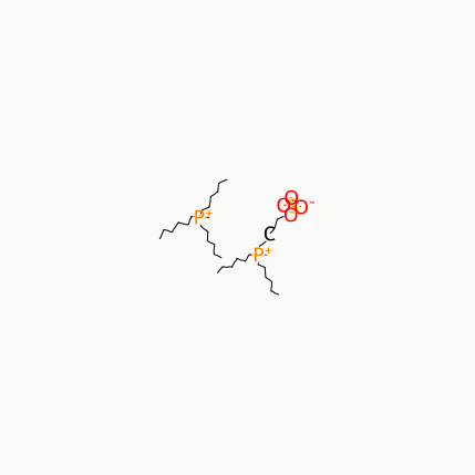 CCCCCC[P+](C)(CCCCCC)CCCCCC.CCCCCC[P+](C)(CCCCCC)CCCCCC.O=S(=O)([O-])[O-]